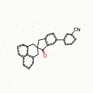 N#Cc1cccc(-c2ccc3c(c2)C(=O)C2(C3)Cc3cccc4cccc(c34)C2)c1